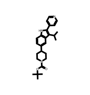 CC(C)c1c(-c2ccncc2)[nH]c2ccc(C3CCN(C(=O)OC(C)(C)C)CC3)cc12